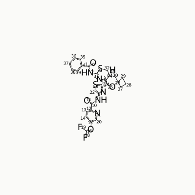 O=C(NC1=N[C@]2(c3nc(NC(=O)c4ccc(OC(F)F)cn4)cs3)COC3(CCC3)C[C@@H]2CS1)c1ccccc1